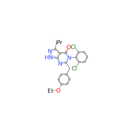 [CH2]COc1ccc(Cc2nc3[nH]nc(C(C)C)c3c(=O)n2-c2c(Cl)cccc2Cl)cc1